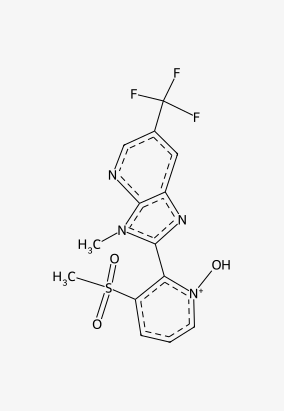 Cn1c(-c2c(S(C)(=O)=O)ccc[n+]2O)nc2cc(C(F)(F)F)cnc21